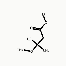 CCOC(=O)CC(C)(C)OC=O